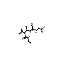 CCOC(=O)N(C(C)C)C(C)CC(=O)OCC(C)C